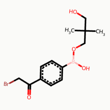 CC(C)(CO)COB(O)c1ccc(C(=O)CBr)cc1